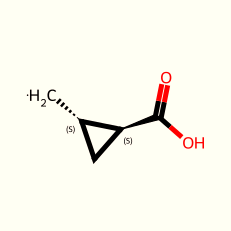 [CH2][C@H]1C[C@@H]1C(=O)O